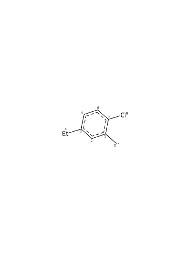 [CH2]c1cc(CC)ccc1Cl